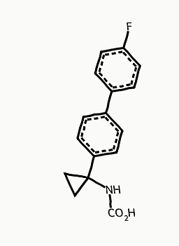 O=C(O)NC1(c2ccc(-c3ccc(F)cc3)cc2)CC1